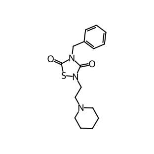 O=c1sn(CCN2CCCCC2)c(=O)n1Cc1ccccc1